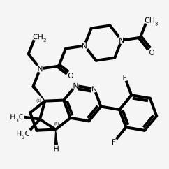 CCN(C[C@@]12CC[C@@H](c3cc(-c4c(F)cccc4F)nnc31)C2(C)C)C(=O)CN1CCN(C(C)=O)CC1